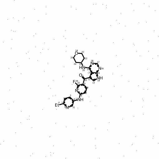 CCc1ccc(Nc2ccc(C(=O)c3c[nH]c4ncnc(NC5CCOCC5)c34)c(F)n2)cn1